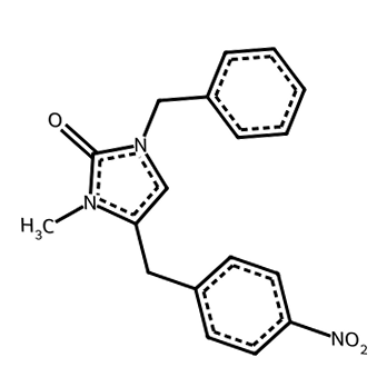 Cn1c(Cc2ccc([N+](=O)[O-])cc2)cn(Cc2ccccc2)c1=O